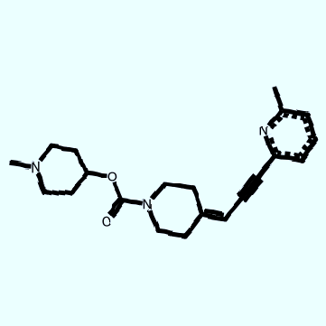 Cc1cccc(C#CC=C2CCN(C(=O)OC3CCN(C)CC3)CC2)n1